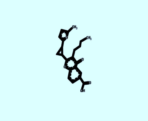 CCCCc1c(C2CC2c2ccc(C)o2)oc2ccc(C(=O)O)cc2c1=O